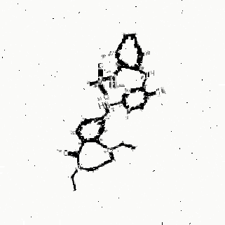 CCN1CCN(CC)c2cc(Nc3ncc(Cl)c(Nc4ccccc4NS(C)(=O)=O)n3)ccc2C1=O